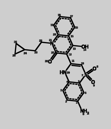 Nc1ccc2c(c1)S(=O)(=O)C=C(c1c(O)c3ccccc3n(CCC3CC3)c1=O)N2